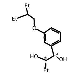 CCC(CC)COc1cccc([C@H](O)[C@H](O)CC)c1